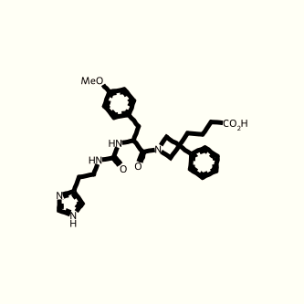 COc1ccc(CC(NC(=O)NCCc2c[nH]cn2)C(=O)N2CC(CCCC(=O)O)(c3ccccc3)C2)cc1